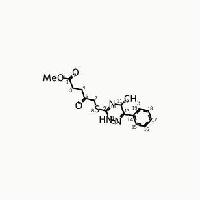 COC(=O)CCC(=O)CSC1=NC(C)C(c2ccccc2)=NN1